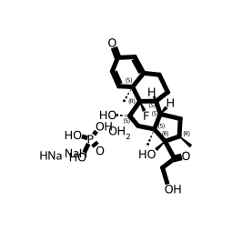 C[C@@H]1C[C@H]2[C@@H]3CCC4=CC(=O)C=C[C@]4(C)[C@@]3(F)[C@@H](O)C[C@]2(C)[C@@]1(O)C(=O)CO.O.O=P(O)(O)O.[NaH].[NaH]